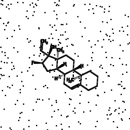 C=C[C@@]1(O)[C@H](F)C[C@H]2[C@@H]3CC=C4CCCC[C@]4(C)[C@H]3CC[C@@]21C